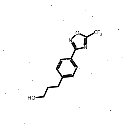 OCCCc1ccc(-c2noc(C(F)(F)F)n2)cc1